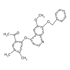 COc1cc2c(Oc3cc(C)c(C)cc3C(C)=O)ccnc2cc1OCc1ccccc1